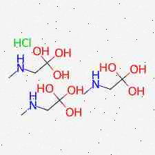 CNCC(O)(O)O.CNCC(O)(O)O.CNCC(O)(O)O.Cl